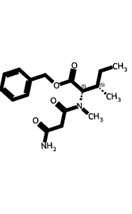 CC[C@H](C)[C@@H](C(=O)OCc1ccccc1)N(C)C(=O)CC(N)=O